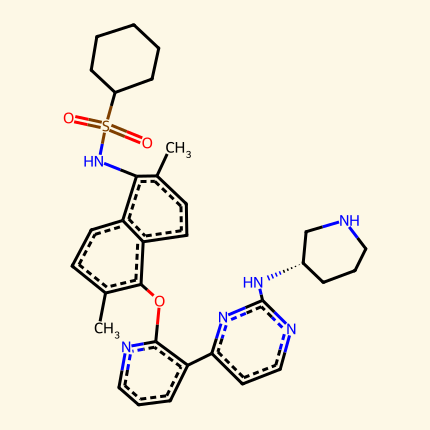 Cc1ccc2c(Oc3ncccc3-c3ccnc(N[C@H]4CCCNC4)n3)c(C)ccc2c1NS(=O)(=O)C1CCCCC1